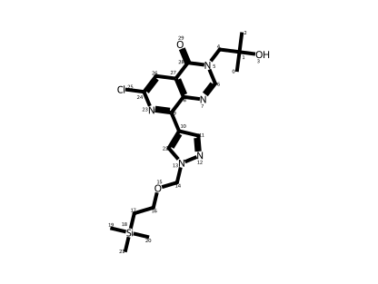 CC(C)(O)Cn1cnc2c(-c3cnn(COCC[Si](C)(C)C)c3)nc(Cl)cc2c1=O